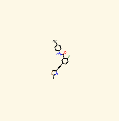 Cc1nc(C#Cc2ccc(F)c(C(=O)Nc3ccc(C#N)cc3)c2)cs1